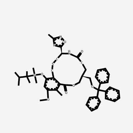 COc1cc(O[Si](C)(C)C(C)(C)C(C)C)c2c(c1C)C(=O)OC[C@H](COC(c1ccccc1)(c1ccccc1)c1ccccc1)CCC(=O)N[C@H](c1nc(C)no1)CSC2